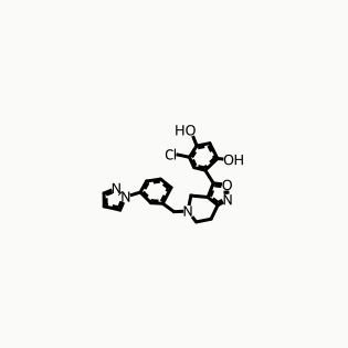 Oc1cc(O)c(-c2onc3c2CN(Cc2cccc(-n4cccn4)c2)CC3)cc1Cl